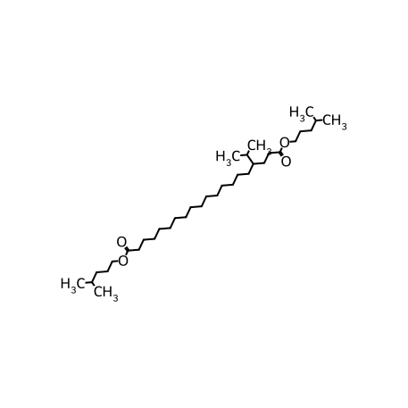 CC(C)CCCOC(=O)CCCCCCCCCCCCCCCC(CCC(=O)OCCCC(C)C)C(C)C